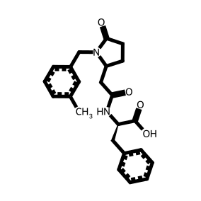 Cc1cccc(CN2C(=O)CCC2CC(=O)N[C@H](Cc2ccccc2)C(=O)O)c1